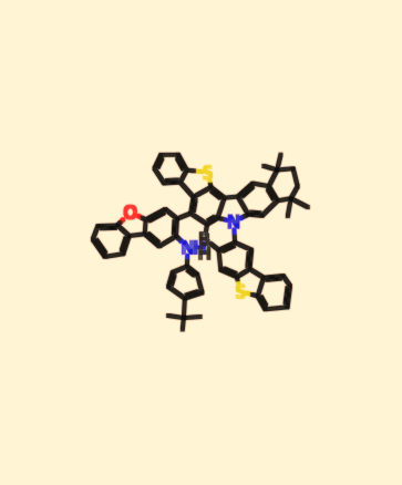 CC(C)(C)c1ccc(Nc2cc3c(cc2-c2c4c5c(c6cc7c(cc6n5-c5cc6c(cc5B4)sc4ccccc46)C(C)(C)CCC7(C)C)c4sc5ccccc5c24)oc2ccccc23)cc1